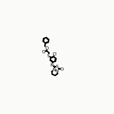 O=C(CSc1cc(N=c2sc(=O)n3n2CCCC3)ccc1Cl)OCc1ccccc1